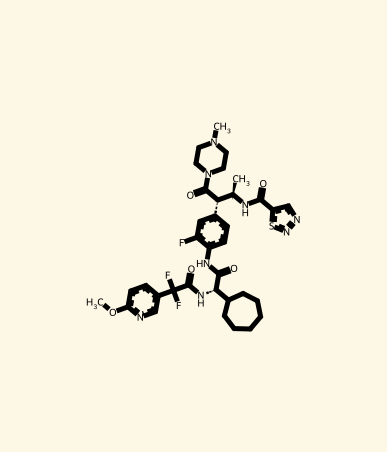 COc1ccc(C(F)(F)C(=O)N[C@H](C(=O)Nc2ccc([C@H](C(=O)N3CCN(C)CC3)[C@@H](C)NC(=O)c3cnns3)cc2F)C2CCCCCC2)cn1